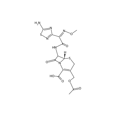 CO/N=C(\C(=O)NC1C(=O)N2C(C(=O)O)=C(COC(C)=O)CS[C@@H]12)c1nsc(N)n1